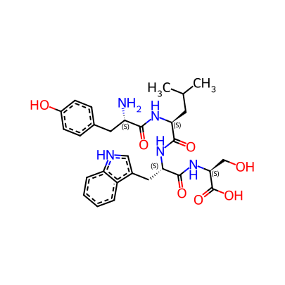 CC(C)C[C@H](NC(=O)[C@@H](N)Cc1ccc(O)cc1)C(=O)N[C@@H](Cc1c[nH]c2ccccc12)C(=O)N[C@@H](CO)C(=O)O